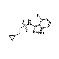 O=S(=O)(CCC1CC1)Nc1n[nH]c2cccc(F)c12